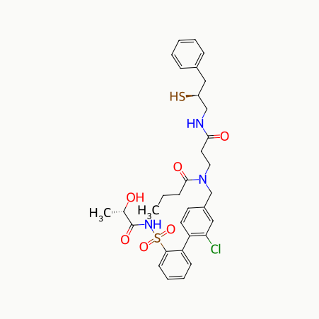 CCCC(=O)N(CCC(=O)NC[C@@H](S)Cc1ccccc1)Cc1ccc(-c2ccccc2S(=O)(=O)NC(=O)[C@H](C)O)c(Cl)c1